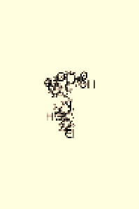 CC1(C)CN(CCC=C2c3cc(C(=O)O)ccc3OCc3c2ccc[n+]3[O-])CC[C@@]1(O)C1C=CC(Cl)=CC1